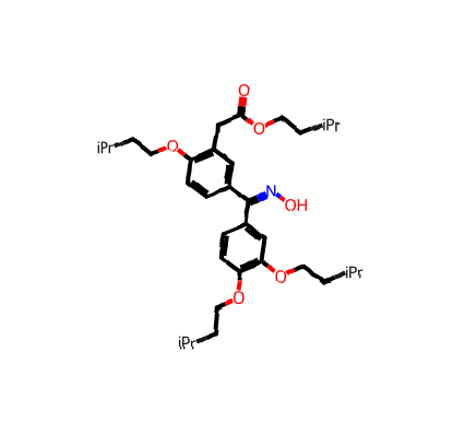 CC(C)CCOC(=O)Cc1cc(C(=NO)c2ccc(OCCC(C)C)c(OCCC(C)C)c2)ccc1OCCC(C)C